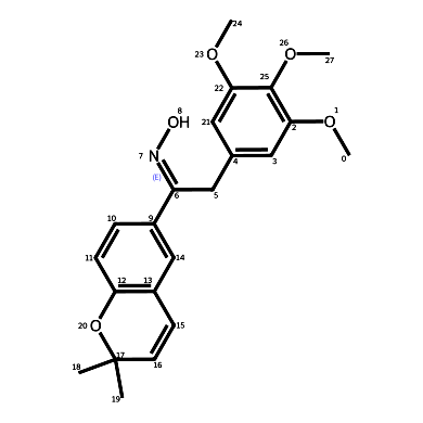 COc1cc(C/C(=N\O)c2ccc3c(c2)C=CC(C)(C)O3)cc(OC)c1OC